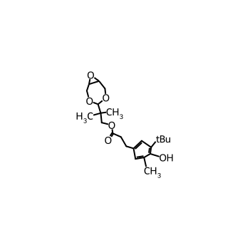 Cc1cc(CCC(=O)OCC(C)(C)C2OCC3OC3CO2)cc(C(C)(C)C)c1O